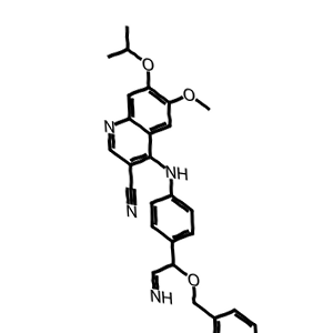 COc1cc2c(Nc3ccc(C(C=N)OCc4ccccc4)cc3)c(C#N)cnc2cc1OC(C)C